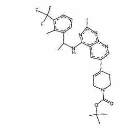 Cc1nc(NC(C)c2cccc(C(F)(F)F)c2C)c2cc(C3=CCN(C(=O)OC(C)(C)C)CC3)cnc2n1